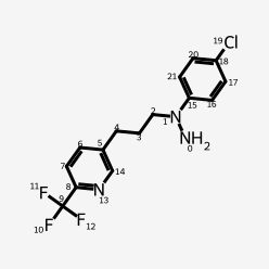 NN(CCCc1ccc(C(F)(F)F)nc1)c1ccc(Cl)cc1